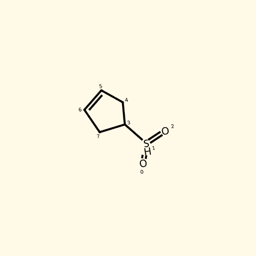 O=[SH](=O)C1CC=CC1